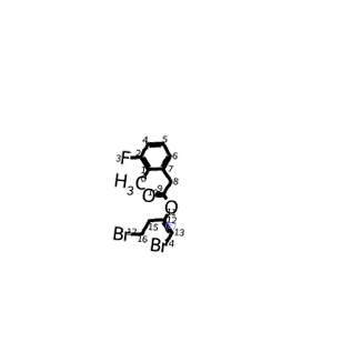 Cc1c(F)cccc1CC(=O)O/C(=C/Br)CCBr